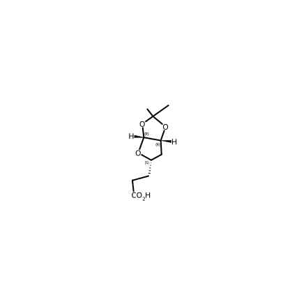 CC1(C)O[C@H]2O[C@@H](CCC(=O)O)C[C@H]2O1